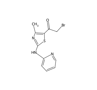 Cc1nc(Nc2ccccn2)sc1C(=O)CBr